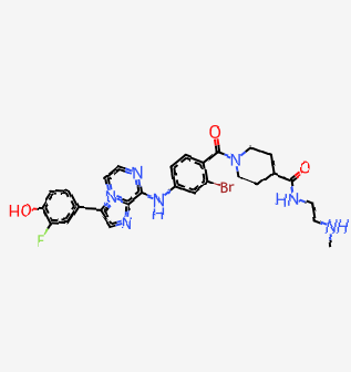 CNCCNC(=O)C1CCN(C(=O)c2ccc(Nc3nccn4c(-c5ccc(O)c(F)c5)cnc34)cc2Br)CC1